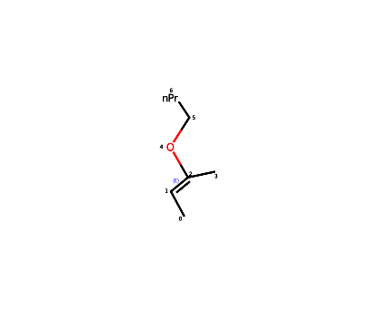 C/C=C(\C)OCCCC